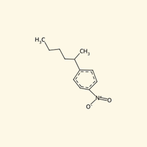 CCCCC(C)c1ccc([N+](=O)[O-])cc1